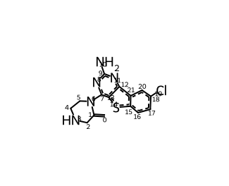 C=C1CNCCN1c1nc(N)nc2c1sc1ccc(Cl)cc12